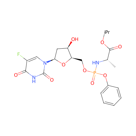 CC(C)OC(=O)[C@H](C)NP(=O)(OC[C@H]1O[C@@H](n2cc(F)c(=O)[nH]c2=O)C[C@H]1O)Oc1ccccc1